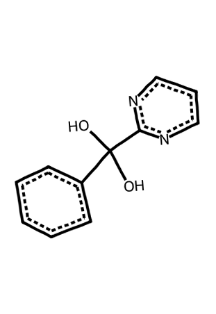 OC(O)(c1ccccc1)c1ncccn1